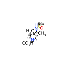 CC(N[S@+]([O-])C(C)(C)C)C1(C)CCN(C(=O)O)CC1